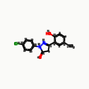 O=C1CC(c2cc([N+](=O)[O-])ccc2O)=NN1c1ccc(Cl)cc1